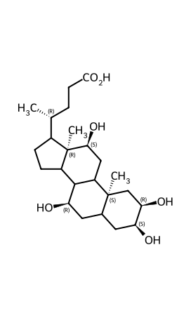 C[C@H](CCC(=O)O)C1CCC2C3C(C[C@H](O)[C@@]21C)[C@@]1(C)C[C@@H](O)[C@@H](O)CC1C[C@H]3O